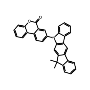 CC1(C)c2ccccc2-c2cc3c4ccccc4n(-c4ccc5c(c4)c(=O)oc4ccccc45)c3cc21